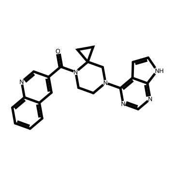 O=C(c1cnc2ccccc2c1)N1CCN(c2ncnc3[nH]ccc23)CC12CC2